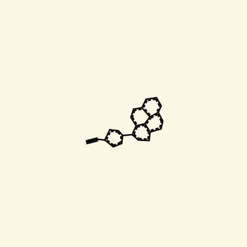 C#Cc1ccc(-c2ccc3ccc4cccc5ccc2c3c45)cc1